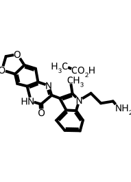 CC(=O)O.Cc1c(-c2nc3cc4c(cc3[nH]c2=O)OCO4)c2ccccc2n1CCCN